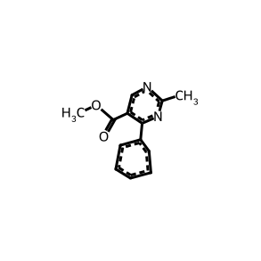 COC(=O)c1cnc(C)nc1-c1ccccc1